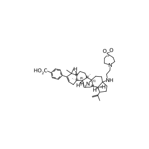 C=C(C)C1CCC2(NCCN3CCS(=O)(=O)CC3)CC[C@]3(N)[C@H](CC[C@@H]4[C@@]5(C)CC=C(c6ccc(C(=O)O)cc6)C(C)(C)[C@@H]5CC[C@]43C)[C@@H]12